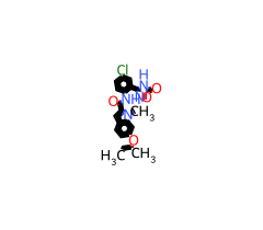 CCC(C)Oc1ccc2cc(C(=O)Nc3ccc(Cl)cc3-c3noc(=O)[nH]3)n(C)c2c1